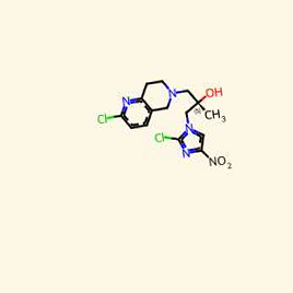 C[C@](O)(CN1CCc2nc(Cl)ccc2C1)Cn1cc([N+](=O)[O-])nc1Cl